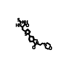 O=C1NC(=S)NC1=Cc1ccc(-c2ccc3c(c2)CN(CCN2CCOCC2)C3=O)s1